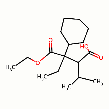 CCOC(=O)C(CC)(C1CCCCC1)C(C(=O)O)C(C)C